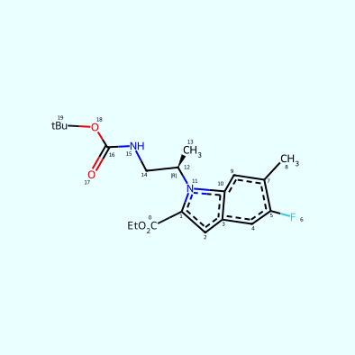 CCOC(=O)c1cc2cc(F)c(C)cc2n1[C@H](C)CNC(=O)OC(C)(C)C